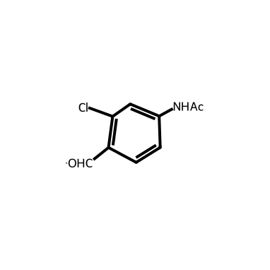 CC(=O)Nc1ccc([C]=O)c(Cl)c1